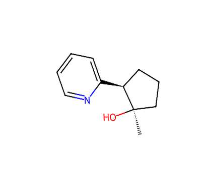 C[C@@]1(O)CCC[C@@H]1c1ccccn1